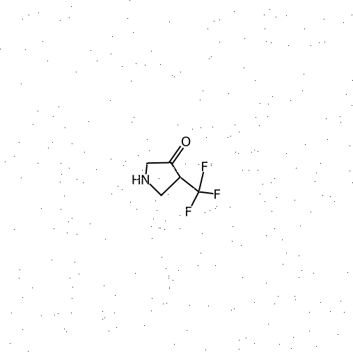 O=C1CNCC1C(F)(F)F